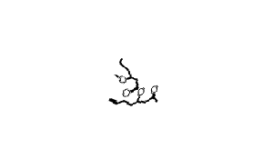 C=CCCC(CC(C)=O)OC(=O)CC(CCC)OC